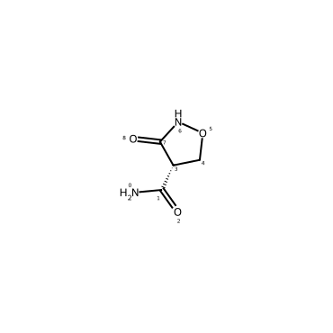 NC(=O)[C@H]1CONC1=O